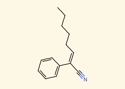 CCCCC/C=C(/C#N)c1ccccc1